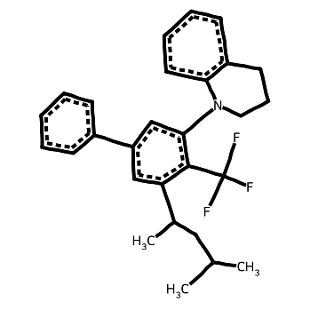 CC(C)CC(C)c1cc(-c2ccccc2)cc(N2CCCc3ccccc32)c1C(F)(F)F